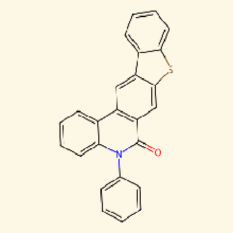 O=c1c2cc3sc4ccccc4c3cc2c2ccccc2n1-c1ccccc1